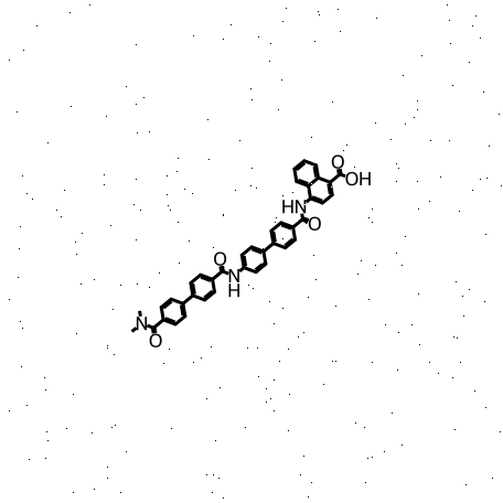 CN(C)C(=O)c1ccc(-c2ccc(C(=O)Nc3ccc(-c4ccc(C(=O)Nc5ccc(C(=O)O)c6ccccc56)cc4)cc3)cc2)cc1